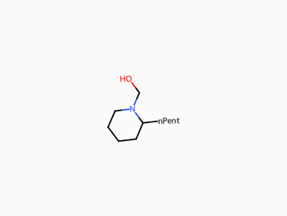 CCCCCC1CCCCN1CO